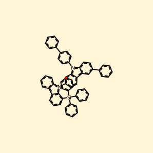 c1ccc(-c2ccc(-n3c4ccc(-c5ccccc5)cc4c4ccc(-n5c6ccccc6c6cccc([Si](c7ccccc7)(c7ccccc7)c7ccccc7)c65)cc43)cc2)cc1